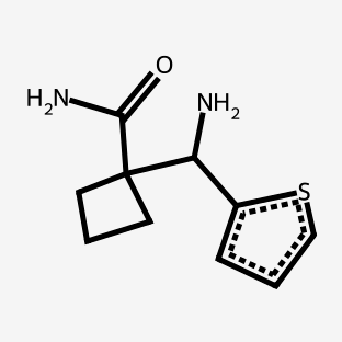 NC(=O)C1(C(N)c2cccs2)CCC1